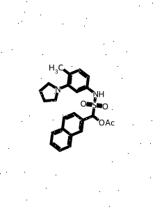 CC(=O)OC(c1ccc2ccccc2c1)S(=O)(=O)Nc1ccc(C)c(N2CCCC2)c1